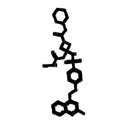 Cc1cc(COc2ccc(S(=O)(=O)NC3(CC(=O)NO)CN(C(=O)CN4CCCCC4)C3)cc2)c2ccccc2n1